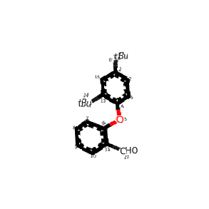 CC(C)(C)c1ccc(Oc2ccccc2C=O)c(C(C)(C)C)c1